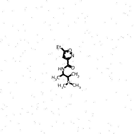 CCc1cc(C(=O)NC(C)C(C)N(C)C)no1